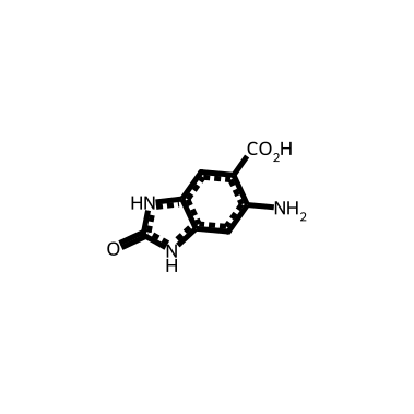 Nc1cc2[nH]c(=O)[nH]c2cc1C(=O)O